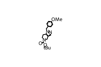 COc1ccc(Cn2ncc3c2CCN(C(=O)OC(C)(C)C)C3)cc1